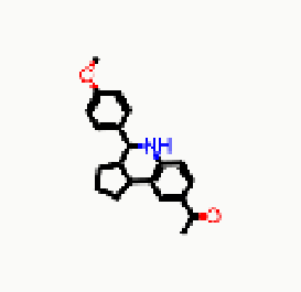 COc1ccc(C2Nc3ccc(C(C)=O)cc3C3CCCC32)cc1